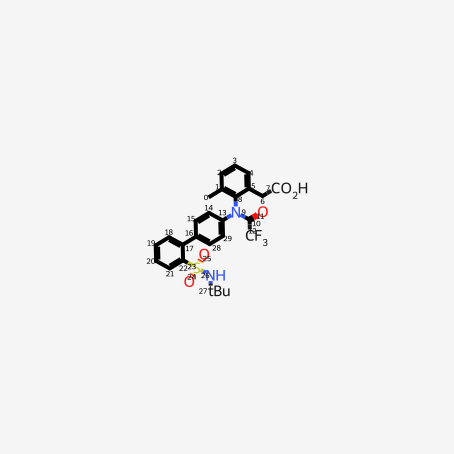 Cc1cccc(CC(=O)O)c1N(C(=O)C(F)(F)F)c1ccc(-c2ccccc2S(=O)(=O)NC(C)(C)C)cc1